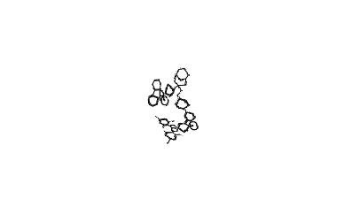 Cc1cc(C)c(B(c2ccc3oc4ccc(-c5ccc(CCC6(c7ccc(P8(=O)c9ccccc9-c9ccccc98)cc7)CC7CCCC(C7)C6)cc5)cc4c3c2)c2c(C)cc(C)cc2C)c(C)c1